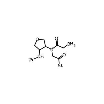 BCC(=O)N(CC(=O)CC)C1COCC1NC(C)C